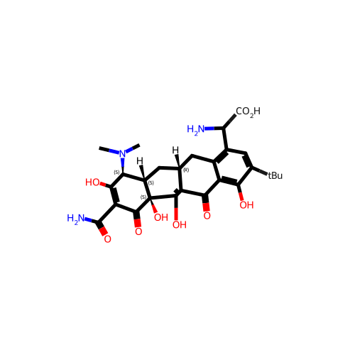 CN(C)[C@@H]1C(O)=C(C(N)=O)C(=O)[C@@]2(O)C(O)=C3C(=O)c4c(O)c(C(C)(C)C)cc(C(N)C(=O)O)c4C[C@H]3C[C@@H]12